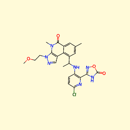 COCCn1ncc2c3c(C(C)Nc4ccc(Cl)nc4-c4noc(=O)[nH]4)cc(C)cc3c(=O)n(C)c21